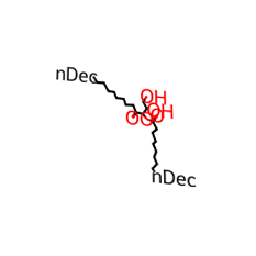 CCCCCCCCCCCCCCCCCCC(=O)OC(C(=O)CCCCCCCCCCCCCCCCCC)C(O)CO